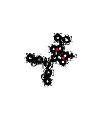 CC(C)(C)c1ccc2c(c1)c1cc(-n3c4c(c5ccccc53)C=CCC4)ccc1n2-c1c(-c2ccccc2)cc(-c2nc(-c3ccc4c(c3)oc3ccccc34)nc(-c3ccc4c(c3)oc3ccccc34)n2)cc1-c1ccccc1